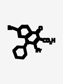 CC(C)c1c(C(=O)O)c(=O)c2ccc(Br)cc2n1C1CCCCC1